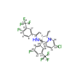 C=CC[C@@](NC(=C)c1ccc(F)c(C(F)(F)F)c1)(c1cc(F)cc(C(F)(F)F)c1)c1ccc(Cl)cn1